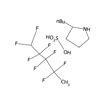 CC(F)(F)C(F)(F)C(F)(F)C(F)F.CCCCC1CCCN1.O=S(=O)(O)O